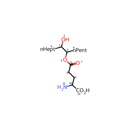 CCCCCCCC(O)C(CCCCC)OC(=O)CCC(N)C(=O)O